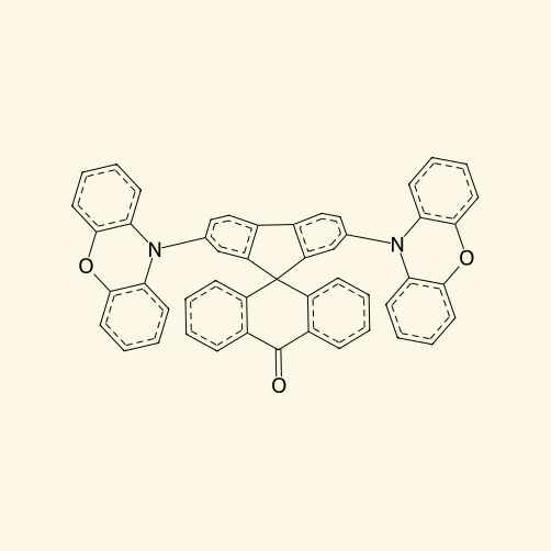 O=C1c2ccccc2C2(c3ccccc31)c1cc(N3c4ccccc4Oc4ccccc43)ccc1-c1ccc(N3c4ccccc4Oc4ccccc43)cc12